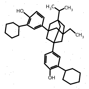 CCC12CC3(c4ccc(O)c(C5CCCCC5)c4)CC(c4ccc(O)c(C5CCCCC5)c4)(C1)CC(C(C)C)(C2)C3